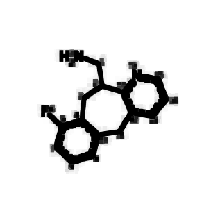 NCC1Cc2c(F)cccc2Cc2cccnc21